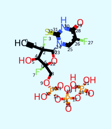 C#C[C@@]1(F)C(O)[C@@](F)(COP(=O)(O)OP(=O)(O)OP(=O)(O)O)O[C@H]1n1cc(F)c(=O)[nH]c1=S